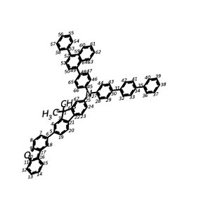 CC1(C)c2cc(-c3ccc4oc5ccccc5c4c3)ccc2-c2ccc(N(c3ccc(-c4ccc(-c5ccccc5)cc4)cc3)c3ccc(-c4ccc(-c5ccccc5)c5ccccc45)cc3)cc21